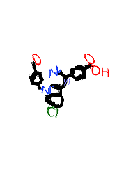 N#C/C(=C\c1cn(Cc2ccc(C=O)cc2)c2cc(Cl)ccc12)c1ccc(C(=O)O)cc1